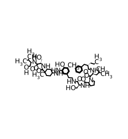 CCC[C@@H](Cc1ccccc1)C(=O)N[C@@H](CC(C)C)C(=O)N1CCCC1C(=O)N[C@@H](CO)C(=O)NCCc1cc(C)c(O)c(NNC2CCC(C)(C(=O)N[C@@H](CO)C(=O)N[C@H](C(=O)O)C(C)C)CC2)c1